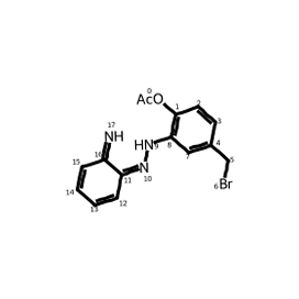 CC(=O)Oc1ccc(CBr)cc1N/N=C1/C=CC=CC1=N